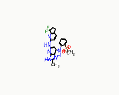 Cc1nc2c(Nc3ccccc3S(C)(=O)=O)cc(Nc3ccc4c(n3)C(F)(F)CC4)nc2[nH]1